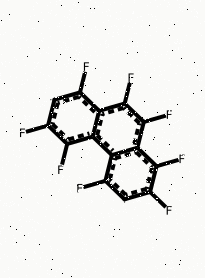 Fc1[c]c(F)c2c(c1F)c(F)c(F)c1c(F)[c]c(F)c(F)c12